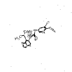 COc1ncc(NC(=O)Nc2cnn3ccnc3c2[C@H](C)OC)cc1Cl